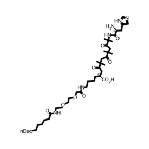 CCCCCCCCCCCCCCCC(=O)NCCOCCOCC(=O)NCCCC[C@H](CC(=O)C(C)(C)CC(=O)C(C)(C)CC(=O)C(C)(C)NC(=O)[C@@H](N)Cc1cnc[nH]1)C(=O)O